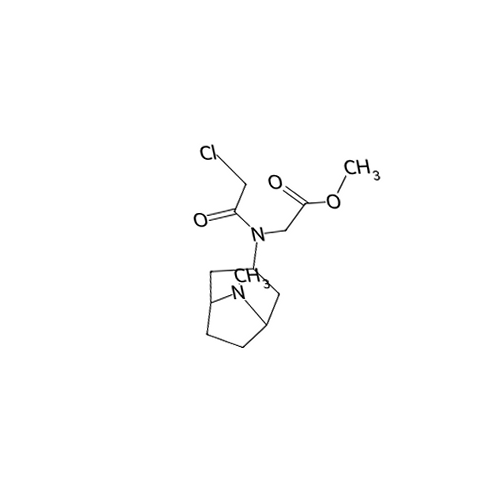 COC(=O)CN(C(=O)CCl)C1CC2CCC(C1)N2C